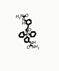 NC(=O)Nc1cccc(C2=C[C@H]([PH](c3ccccc3)(c3ccccc3)c3cccc(NC(N)=O)c3)O2)c1